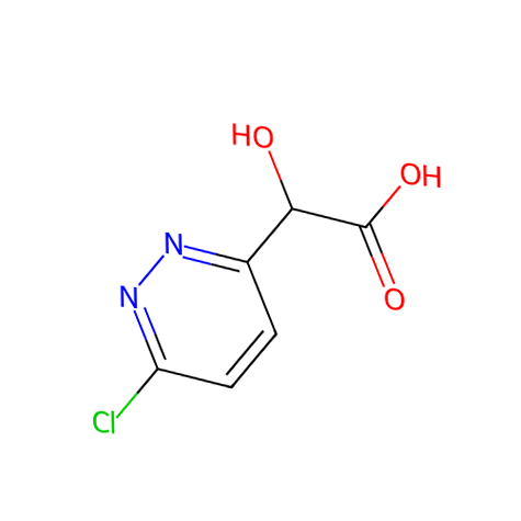 O=C(O)C(O)c1ccc(Cl)nn1